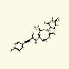 C=C1/C=C(NC(=O)C#Cc2ccc(F)cc2)\C=C/CC(=O)N(C2CCC(=O)NC2=O)C1